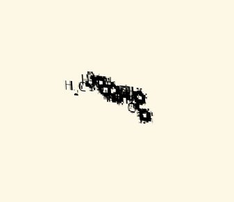 C=CCN1C(=O)C=C[C@@]2(C)C1CC[C@@H]1[C@H]2CC[C@]2(C)C(C(=O)Nc3ccccc3C(=O)c3ccccc3)CC[C@@H]12